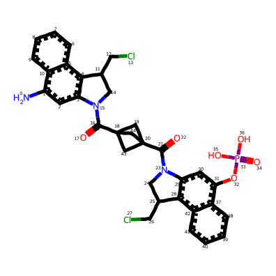 Nc1cc2c(c3ccccc13)C(CCl)CN2C(=O)C12CC(C(=O)N3CC(CCl)c4c3cc(OP(=O)(O)O)c3ccccc43)(C1)C2